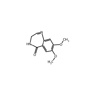 COc1cc2c(cc1OC)C(=O)NCC=N2